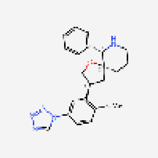 COc1ccc(-n2cnnn2)cc1[C@H]1CO[C@]2(CCCN[C@H]2c2ccccc2)C1